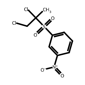 CC(Cl)(CCl)S(=O)(=O)c1cccc([N+](=O)[O-])c1